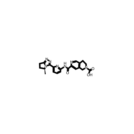 C[C@H]1CCc2nnc(-c3cccc(NC(=O)c4cc5c(cn4)CCN(C(=O)O)C5)n3)n21